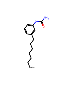 CCCCCCCCCCCCCCCc1cccc([N]C(N)=O)c1